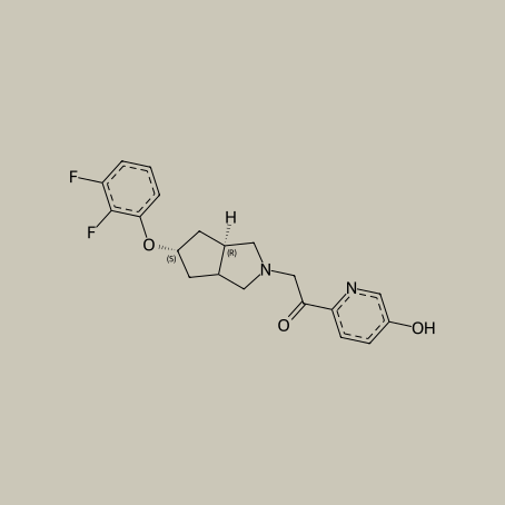 O=C(CN1CC2C[C@H](Oc3cccc(F)c3F)C[C@H]2C1)c1ccc(O)cn1